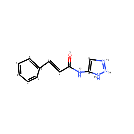 O=C(C=Cc1ccccc1)Nc1[c]nn[nH]1